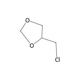 ClCC1COCO1